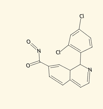 O=NC(=O)C1=CC2C(=CC=NC2c2ccc(Cl)cc2Cl)C=C1